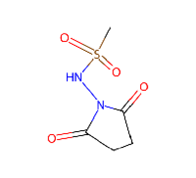 CS(=O)(=O)NN1C(=O)CCC1=O